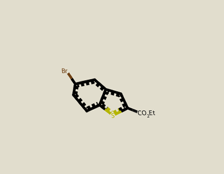 CCOC(=O)c1cc2cc(Br)ccc2s1